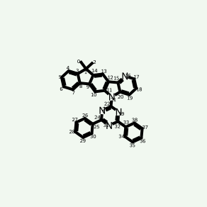 CC1(C)c2ccccc2-c2cc3c(cc21)c1ncccc1n3-c1nc(-c2ccccc2)nc(-c2ccccc2)n1